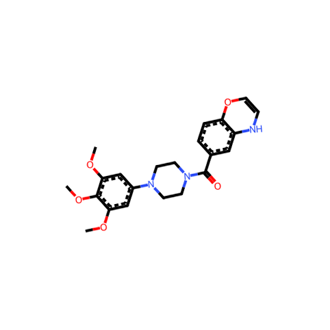 COc1cc(N2CCN(C(=O)c3ccc4c(c3)NC=CO4)CC2)cc(OC)c1OC